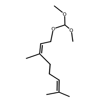 COC(OC)OCC=C(C)CCC=C(C)C